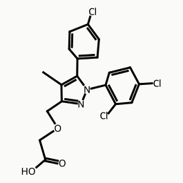 Cc1c(COCC(=O)O)nn(-c2ccc(Cl)cc2Cl)c1-c1ccc(Cl)cc1